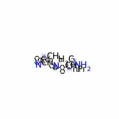 C=C=C(/C=C\c1ccc(-c2ccc3ccc(-c4ccc(C(=C)/C=C\c5ccc(/C=C\C)c(N)c5CCC)c5ccccc45)nc3c2)cc1C)c1cccc2ccncc12